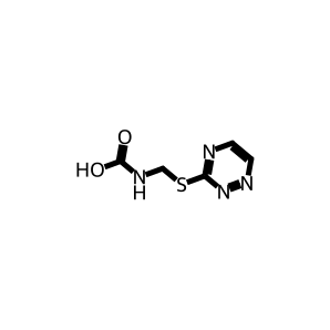 O=C(O)NCSc1nccnn1